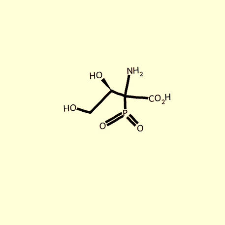 NC(C(=O)O)([C@H](O)CO)P(=O)=O